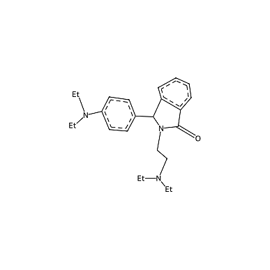 CCN(CC)CCN1C(=O)c2ccccc2C1c1ccc(N(CC)CC)cc1